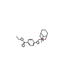 CCOC(=O)c1ccc(OCCC2C3CCCC2CN(C)C3)cc1